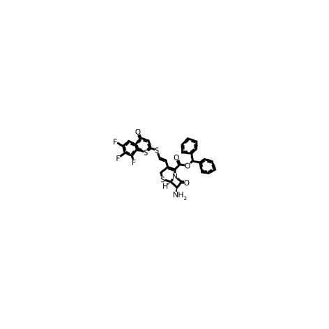 N[C@@H]1C(=O)N2C(C(=O)OC(c3ccccc3)c3ccccc3)=C(/C=C/Sc3cc(=O)c4cc(F)c(F)c(F)c4s3)CS[C@H]12